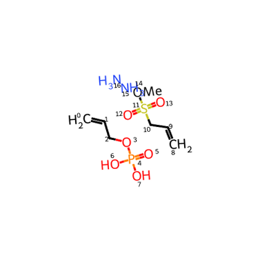 C=CCOP(=O)(O)O.C=CCS(=O)(=O)OC.N.N